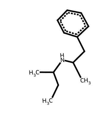 CCC(C)NC(C)Cc1ccccc1